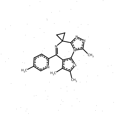 Cc1ccc(C2=NC3(CC3)c3nnc(C)n3-c3sc(C)c(C)c32)nc1